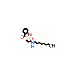 CCCCCCCCNC(=O)/C=C\SC(=O)c1ccccc1Br